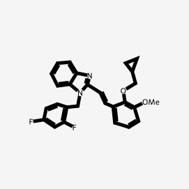 COc1cccc(C=Cc2nc3ccccc3n2Cc2ccc(F)cc2F)c1OCC1CC1